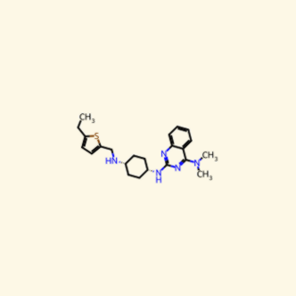 CCc1ccc(CN[C@H]2CC[C@@H](Nc3nc(N(C)C)c4ccccc4n3)CC2)s1